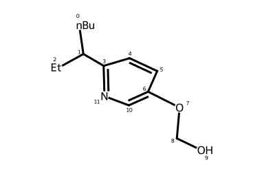 CCCCC(CC)c1ccc(OCO)cn1